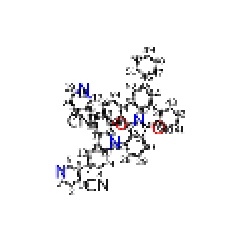 N#Cc1ccncc1-c1ccc2c(c1)c1cc(-c3cnccc3C#N)ccc1n2-c1cccc2c1C(=O)N(c1c(-c3ccccc3)cc(-c3ccccc3)cc1-c1ccccc1)C2=O